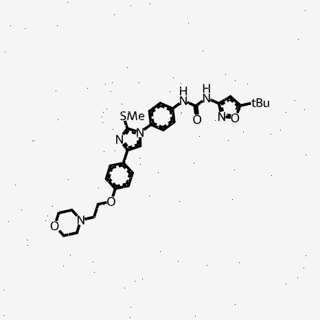 CSc1nc(-c2ccc(OCCN3CCOCC3)cc2)cn1-c1ccc(NC(=O)Nc2cc(C(C)(C)C)on2)cc1